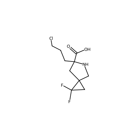 O=C(O)C1(CCCCl)CC2(CN1)CC2(F)F